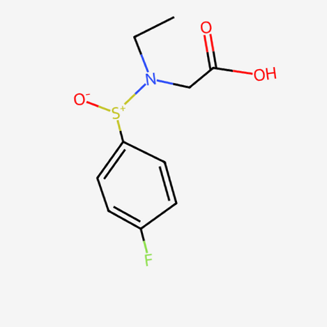 CCN(CC(=O)O)[S+]([O-])c1ccc(F)cc1